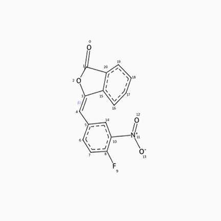 O=C1O/C(=C/c2ccc(F)c([N+](=O)[O-])c2)c2ccccc21